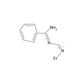 CC/N=C\N=C(/N)c1ccccc1